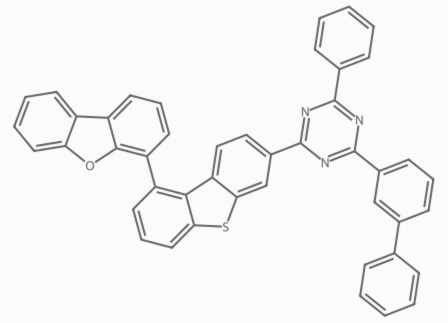 c1ccc(-c2cccc(-c3nc(-c4ccccc4)nc(-c4ccc5c(c4)sc4cccc(-c6cccc7c6oc6ccccc67)c45)n3)c2)cc1